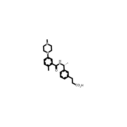 Cc1ccc(N2CCN(C)CC2)cc1C(=O)N[C@H](C)c1cccc(CCC(=O)O)c1